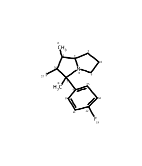 CC1C2CCCN2C(C)(c2ccc(F)cc2)C1I